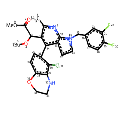 COC(=O)C(OC(C)(C)C)c1c(C)nc2c(ccn2Cc2ccc(F)c(F)c2)c1-c1ccc2c(c1Cl)NCCO2